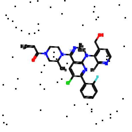 C=CC(=O)N1CCN(/C(=N/C)c2cc(Cl)c(-c3ccccc3F)nc2N(C=O)c2c(CO)ccnc2C(C)C)C(C)C1